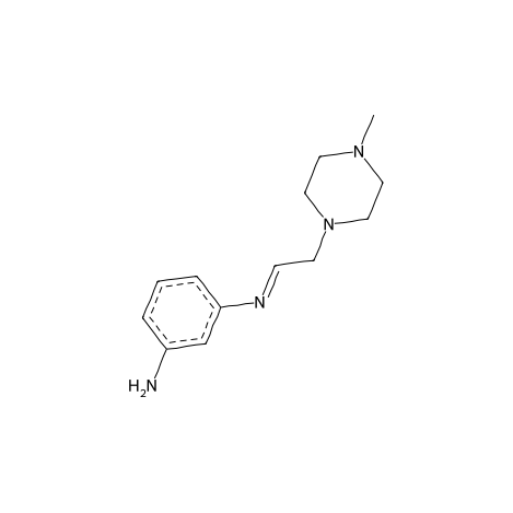 CN1CCN(CC=Nc2cccc(N)c2)CC1